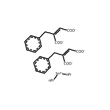 CC[CH2][Sn+4][CH2]CC.O=C([O-])/C=C(/Cc1ccccc1)C(=O)[O-].O=C([O-])/C=C(/Cc1ccccc1)C(=O)[O-]